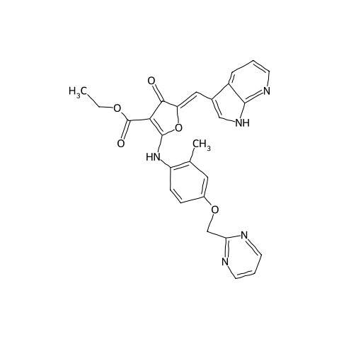 CCOC(=O)C1=C(Nc2ccc(OCc3ncccn3)cc2C)OC(=Cc2c[nH]c3ncccc23)C1=O